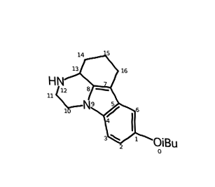 CC(C)COc1ccc2c(c1)c1c3n2CCNC3CCC1